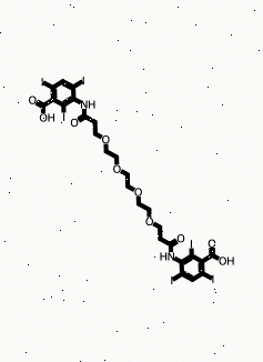 O=C(CCOCCOCCOCCOCCC(=O)Nc1c(I)cc(I)c(C(=O)O)c1I)Nc1c(I)cc(I)c(C(=O)O)c1I